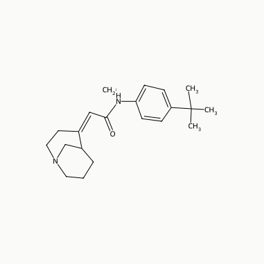 CC(C)(C)c1ccc(NC(=O)C=C2CCN3CCCC2C3)cc1.[CH2]